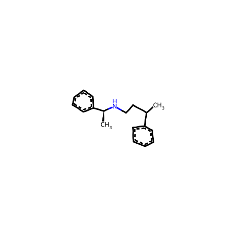 CC(CCN[C@@H](C)c1ccccc1)c1ccccc1